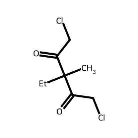 CCC(C)(C(=O)CCl)C(=O)CCl